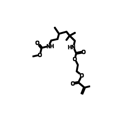 C=C(C)C(=O)OCCOC(=O)NCC(C)(C)CC(C)CCNC(=O)OC